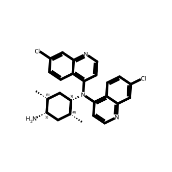 C[C@@H]1C[C@H](N(c2ccnc3cc(Cl)ccc23)c2ccnc3cc(Cl)ccc23)[C@H](C)C[C@@H]1N